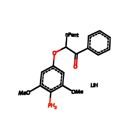 CCCCCC(Oc1cc(OC)c(P)c(OC)c1)C(=O)c1ccccc1.[LiH]